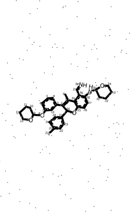 CC1=C(c2cccc(OC3CCCCO3)c2)C(c2ccc(I)cc2)Oc2ccc(NC3CCCCO3)c(C=N)c21